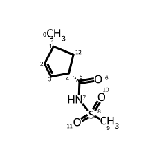 C[C@H]1C=C[C@@H](C(=O)NS(C)(=O)=O)C1